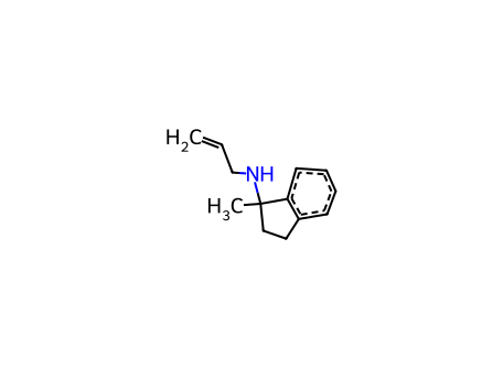 C=CCNC1(C)CCc2ccccc21